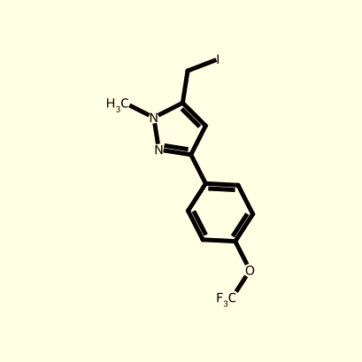 Cn1nc(-c2ccc(OC(F)(F)F)cc2)cc1CI